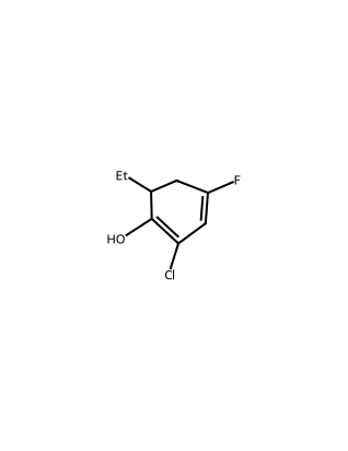 CCC1CC(F)=CC(Cl)=C1O